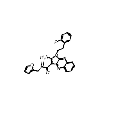 Nc1c(C(=O)NCc2ccco2)c2nc3ccccc3nc2n1CCc1ccccc1F